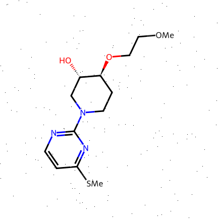 COCCO[C@H]1CCN(c2nccc(SC)n2)C[C@@H]1O